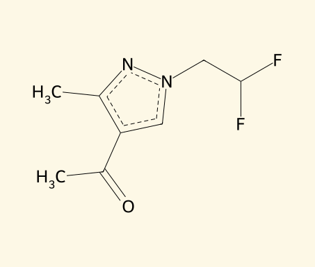 CC(=O)c1cn(CC(F)F)nc1C